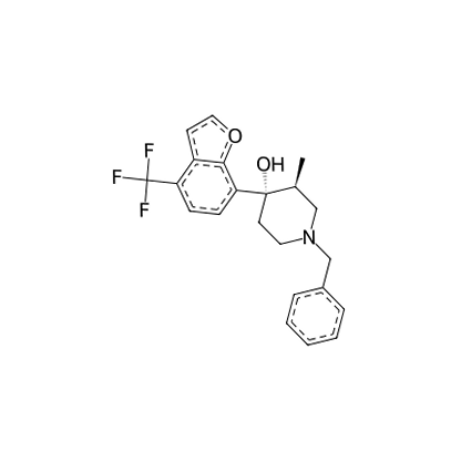 C[C@H]1CN(Cc2ccccc2)CC[C@@]1(O)c1ccc(C(F)(F)F)c2ccoc12